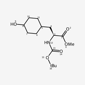 COC(=O)[C@H](CC1CCC(O)CC1)NC(=O)OC(C)(C)C